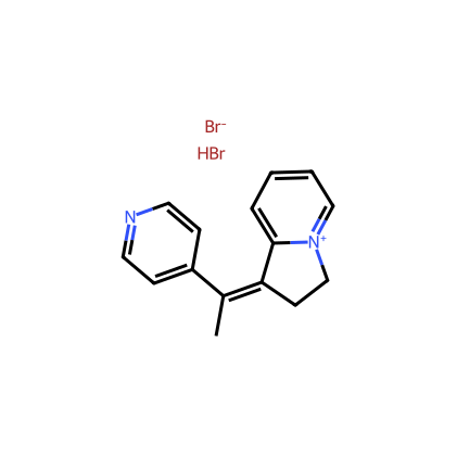 Br.CC(=C1CC[n+]2ccccc21)c1ccncc1.[Br-]